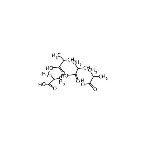 CC(C)C(=O)O.CC(C)C(=O)O.CC(C)C(=O)O.CC(C)C(=O)O